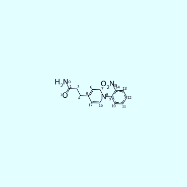 NC(=O)CCC1=CCN(c2ccccc2[N+](=O)[O-])C=C1